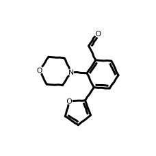 O=Cc1cccc(-c2ccco2)c1N1CCOCC1